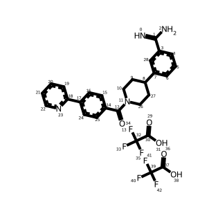 N=C(N)c1cccc(C2CCN(C(=O)c3ccc(-c4ccccn4)cc3)CC2)c1.O=C(O)C(F)(F)F.O=C(O)C(F)(F)F